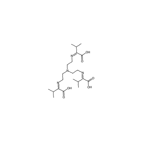 CC(C)C(=NCCN(CCN=C(C(=O)O)C(C)C)CCN=C(C(=O)O)C(C)C)C(=O)O